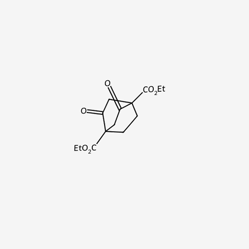 CCOC(=O)C12CCC(C(=O)OCC)(CC1=O)C(=O)C2